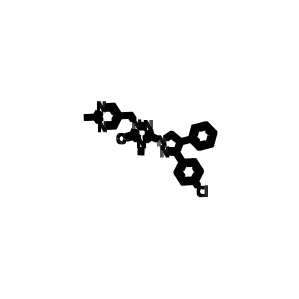 Cc1ncc(Cn2nc(N3CC(c4ccccc4)C(c4ccc(Cl)cc4)=N3)n(C)c2=O)cn1